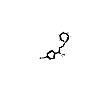 Bc1ccc(C(O)CCN2C=CCCC=C2)cc1